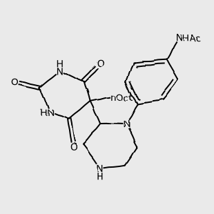 CCCCCCCCC1(C2CNCCN2c2ccc(NC(C)=O)cc2)C(=O)NC(=O)NC1=O